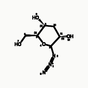 [N-]=[N+]=NC1O[C@@H](CO)[C@H](O)C[C@@H]1O